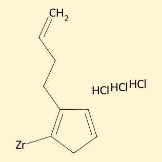 C=CCCC1=[C]([Zr])CC=C1.Cl.Cl.Cl